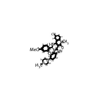 COc1ccc(CNc2c(-c3nc4cc(N5CCN(C)CC5)ccc4[nH]3)c(=O)n(C)c3ccc(Cl)cc23)c(OC)c1